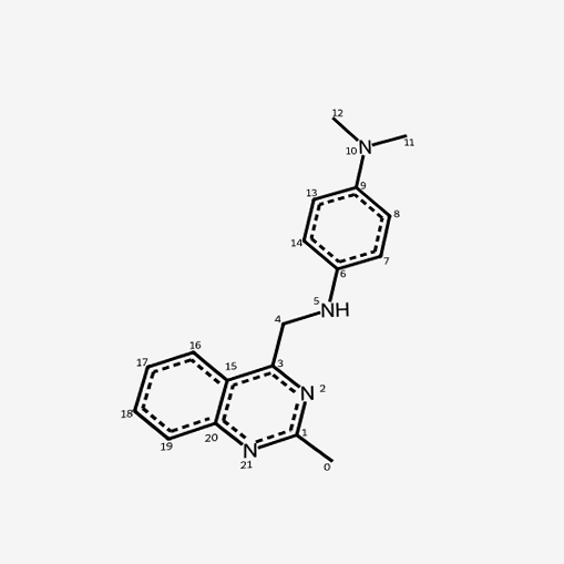 Cc1nc(CNc2ccc(N(C)C)cc2)c2ccccc2n1